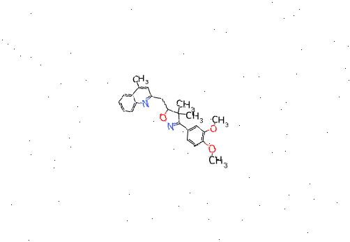 COc1ccc(C2=NOC(Cc3cc(C)c4ccccc4n3)C2(C)C)cc1OC